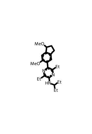 CCc1nc(-c2cc3c(cc2OC)C(OC)CC3)c(CC)nc1NC(CC)CC